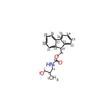 CC(C=O)CNC(=O)OCC1c2ccccc2-c2ccccc21